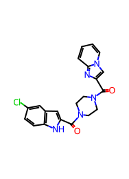 O=C(c1cn2ccccc2n1)N1CCN(C(=O)c2cc3cc(Cl)ccc3[nH]2)CC1